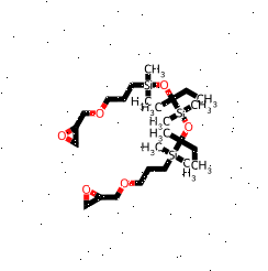 CCC(C)(O[Si](C)(C)C(C)(CC)O[Si](C)(C)CCCOCC1CO1)[Si](C)(C)CCCOCC1CO1